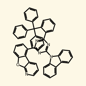 c1ccc(C(c2ccccc2)(c2ccccc2)c2ccccc2-c2nc(-c3cccc4oc5ncccc5c34)nc(-n3c4ccccc4c4ccccc43)n2)cc1